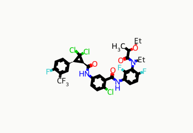 CCOC(C)C(=O)N(CC)c1c(F)ccc(NC(=O)c2cc(NC(=O)[C@H]3[C@H](c4ccc(F)c(C(F)(F)F)c4)C3(Cl)Cl)ccc2Cl)c1F